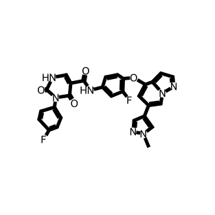 Cn1cc(-c2cc(Oc3ccc(NC(=O)c4c[nH]c(=O)n(-c5ccc(F)cc5)c4=O)cc3F)c3ccnn3c2)cn1